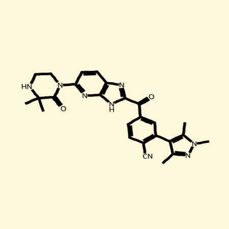 Cc1nn(C)c(C)c1-c1cc(C(=O)c2nc3ccc(N4CCNC(C)(C)C4=O)nc3[nH]2)ccc1C#N